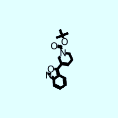 CC(C)(C)OC(=O)N1CCC=C(c2onc3ccccc23)C1